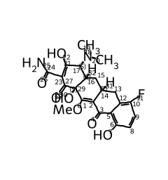 COC1=C2C(=O)c3c(O)ccc(F)c3C[C@H]2C[C@H]2[C@H](N(C)C)C(O)=C(C(N)=O)C(=O)[C@@]12O